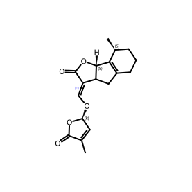 CC1=C[C@H](O/C=C2/C(=O)O[C@@H]3C4=C(CCC[C@@H]4C)CC23)OC1=O